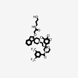 Cl.O=C(CO[C@H]1Cc2ccccc2C12CCN(CC[C@]1(c3ccc(Cl)c(Cl)c3)CN(C(=O)c3cc(C(F)(F)F)cc(C(F)(F)F)c3)CCO1)CC2)NCCCO